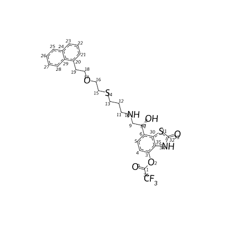 O=C(Oc1ccc([C@@H](O)CNCCCSCCOCCc2cccc3ccccc23)c2sc(=O)[nH]c12)C(F)(F)F